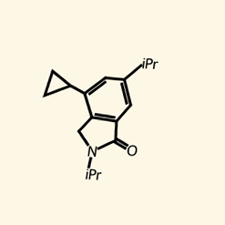 CC(C)c1cc2c(c(C3CC3)c1)CN(C(C)C)C2=O